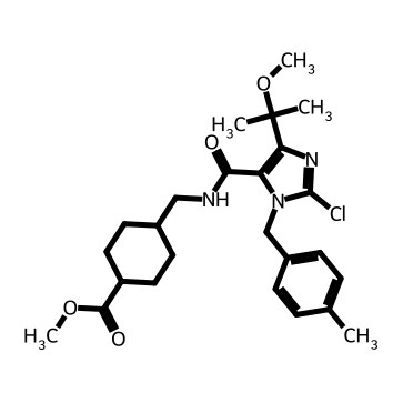 COC(=O)C1CCC(CNC(=O)c2c(C(C)(C)OC)nc(Cl)n2Cc2ccc(C)cc2)CC1